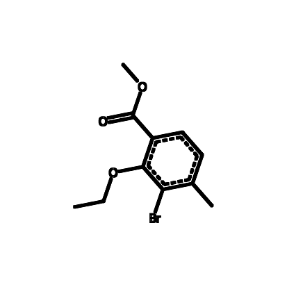 CCOc1c(C(=O)OC)ccc(C)c1Br